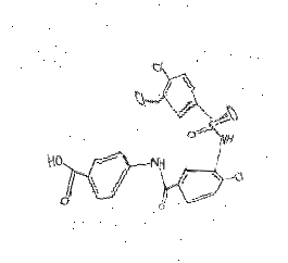 O=C(O)c1ccc(NC(=O)c2ccc(Cl)c(NS(=O)(=O)c3ccc(Cl)c(Cl)c3)c2)cc1